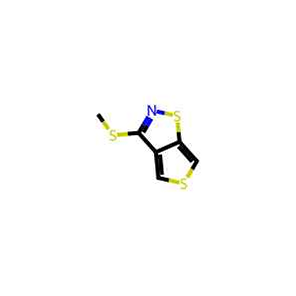 CSc1nsc2cscc12